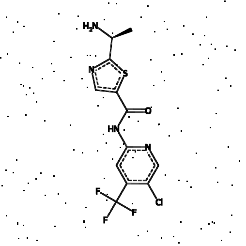 C[C@H](N)c1ncc(C(=O)Nc2cc(C(F)(F)F)c(Cl)cn2)s1